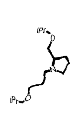 CC(C)OCCCN1CCCC1COC(C)C